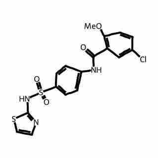 COc1ccc(Cl)cc1C(=O)Nc1ccc(S(=O)(=O)Nc2nccs2)cc1